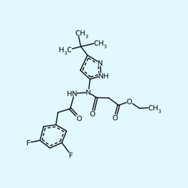 CCOC(=O)CC(=O)N(NC(=O)Cc1cc(F)cc(F)c1)c1cc(C(C)(C)C)n[nH]1